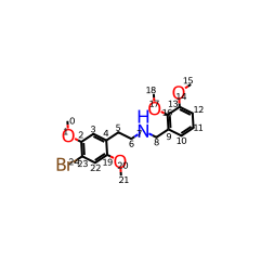 COc1cc(CCNCc2cccc(OC)c2OC)c(OC)cc1Br